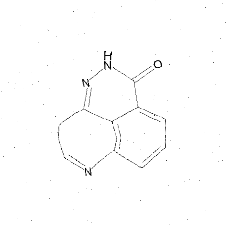 O=c1[nH]nc2c3c(cccc13)N=CC2